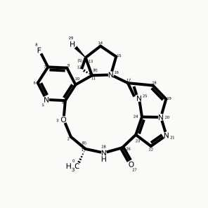 C[C@@H]1COc2ncc(F)cc2[C@@]23C[C@@H]2CCN3c2ccn3ncc(c3n2)C(=O)N1